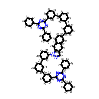 c1ccc(-c2nc(-c3ccccc3)nc(-c3cccc(-c4cccc(-c5cccc(-c6ccc7cc8c(cnn8-c8cccc(-c9cccc(-c%10cccc(-c%11nc(-c%12ccccc%12)nc(-c%12ccccc%12)n%11)c%10)c9)c8)cc7c6)c5)c4)c3)n2)cc1